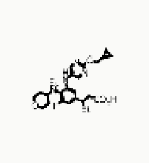 CCC(CC(=O)O)c1cc(F)c(N(CC)C2CCOCC2)c(Nc2cnc(OCC3CC3)nc2)c1